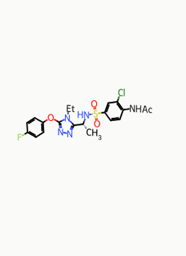 CCn1c(Oc2ccc(F)cc2)nnc1[C@@H](C)NS(=O)(=O)c1ccc(NC(C)=O)c(Cl)c1